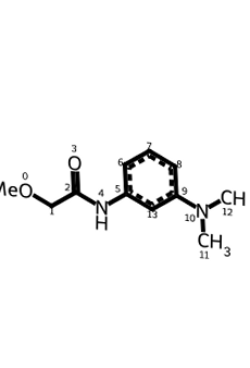 COCC(=O)Nc1cccc(N(C)C)c1